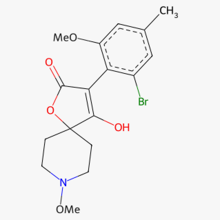 COc1cc(C)cc(Br)c1C1=C(O)C2(CCN(OC)CC2)OC1=O